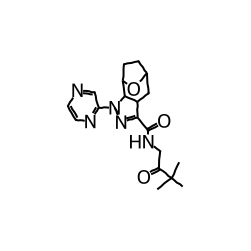 CC(C)(C)C(=O)CNC(=O)C1=NN(c2cnccn2)C2C3CCC(CC12)O3